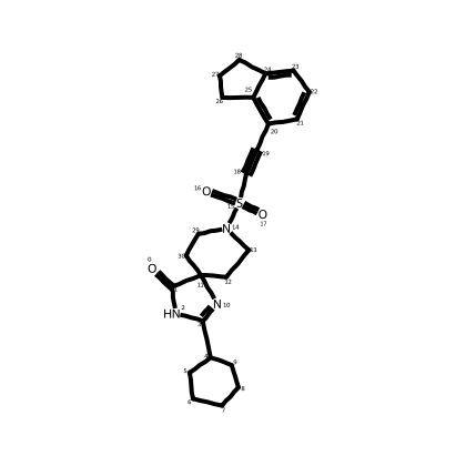 O=C1NC(C2CCCCC2)=NC12CCN(S(=O)(=O)C#Cc1cccc3c1CCC3)CC2